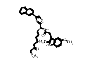 CCC(=O)CCCCC[C@H](NC(=O)Cc1c(C)[nH]c2ccc(OC)cc12)c1nc(-c2ccc3ccccc3c2)co1